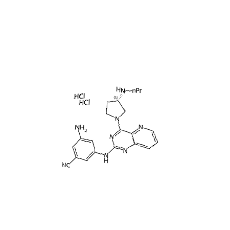 CCCN[C@H]1CCN(c2nc(Nc3cc(N)cc(C#N)c3)nc3cccnc23)C1.Cl.Cl